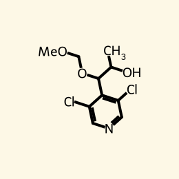 COCOC(c1c(Cl)cncc1Cl)C(C)O